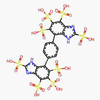 O=S(=O)(O)c1nc2c(S(=O)(=O)O)c(S(=O)(=O)O)c(S(=O)(=O)O)c(-c3ccc(-c4c(S(=O)(=O)O)c(S(=O)(=O)O)c(S(=O)(=O)O)c5nc(S(=O)(=O)O)[nH]c45)cc3)c2[nH]1